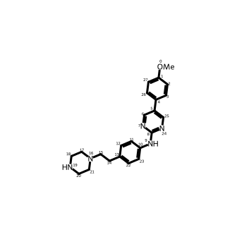 COc1ccc(-c2cnc(Nc3ccc(CCN4CCNCC4)cc3)nc2)cc1